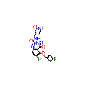 O=C(NCc1cc[nH]c(=O)c1)c1nc2ccc(F)c(OCc3ccc(F)cc3)c2c(=O)[nH]1